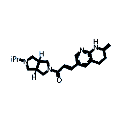 C=C1CCc2cc(/C=C/C(=O)N3C[C@@H]4CN(C(C)C)C[C@@H]4C3)cnc2N1